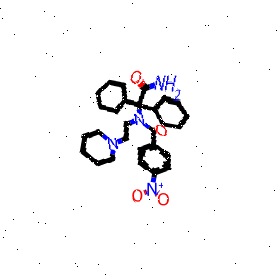 NC(=O)C(C1CCCCC1)(C1CCCCC1)N(CCN1CCCCC1)C(=O)c1ccc([N+](=O)[O-])cc1